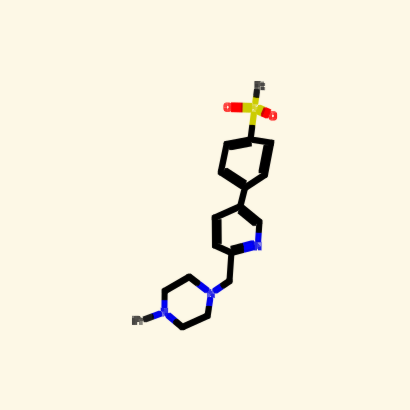 CCS(=O)(=O)c1ccc(-c2ccc(CN3CCN(C(C)C)CC3)nc2)cc1